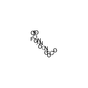 COc1ccc(OC)c(C(=O)CN2CCC(Oc3ncnc(Oc4ccc(S(C)(=O)=O)cc4F)c3C)CC2)c1